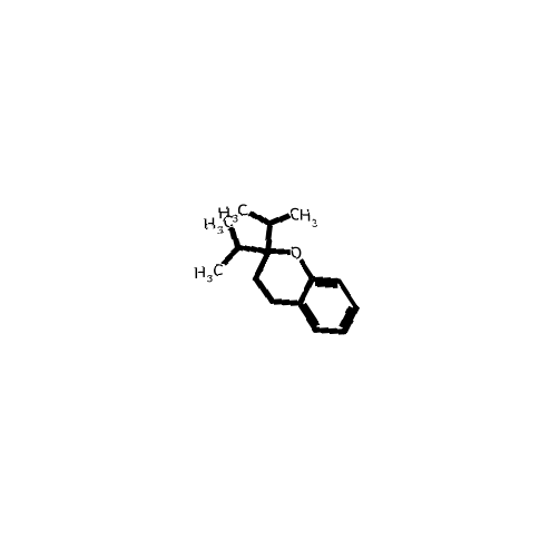 CC(C)C1(C(C)C)CCc2ccccc2O1